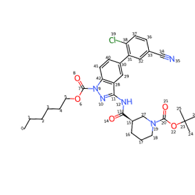 CCCCCCOC(=O)n1nc(NC(=O)[C@@H]2CCCN(C(=O)OC(C)(C)C)C2)c2cc(-c3cc(C#N)ccc3Cl)ccc21